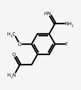 COc1cc(C(=N)N)c(F)cc1CC(N)=O